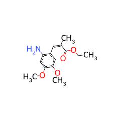 CCOC(=O)C(C)=Cc1cc(OC)c(OC)cc1N